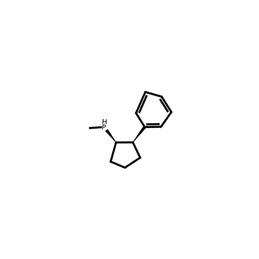 CP[C@@H]1CCC[C@@H]1c1ccccc1